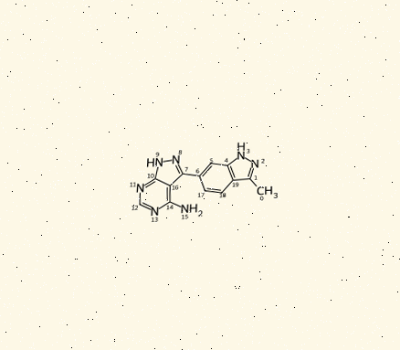 Cc1n[nH]c2cc(-c3n[nH]c4ncnc(N)c34)ccc12